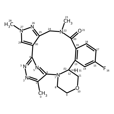 Cc1nnc2nc1N1CCOC[C@@H]1c1cc(F)ccc1C(=O)N(C)Cc1nn(C)cc1-2